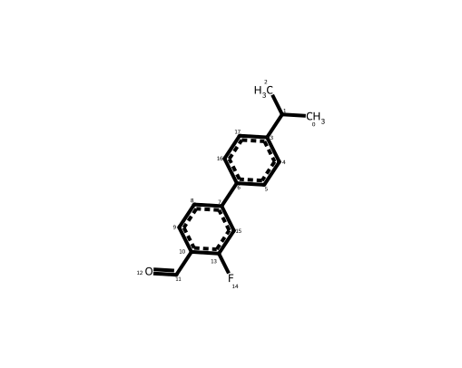 CC(C)c1ccc(-c2ccc(C=O)c(F)c2)cc1